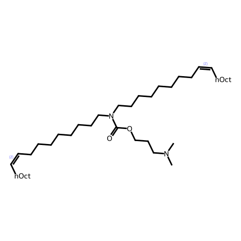 CCCCCCCC/C=C\CCCCCCCCN(CCCCCCCC/C=C\CCCCCCCC)C(=O)OCCCN(C)C